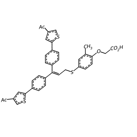 CC(=O)c1csc(-c2ccc(C(=CCSc3ccc(OCC(=O)O)c(C)c3)c3ccc(-c4cc(C(C)=O)cs4)cc3)cc2)c1